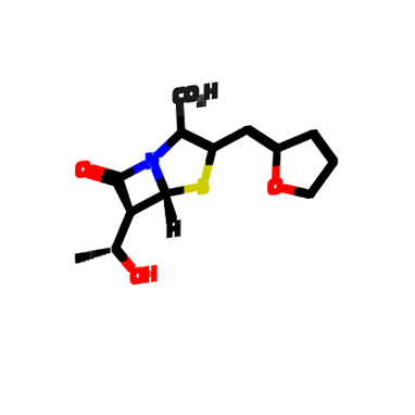 C[C@@H](O)[C@H]1C(=O)N2C(C(=O)O)C(CC3CCCO3)S[C@H]12